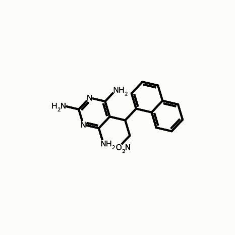 Nc1nc(N)c(C(C[N+](=O)[O-])c2cccc3ccccc23)c(N)n1